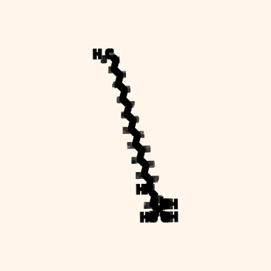 CCCCCCCCCCCCCCCCCCNCC[PH](O)(O)O